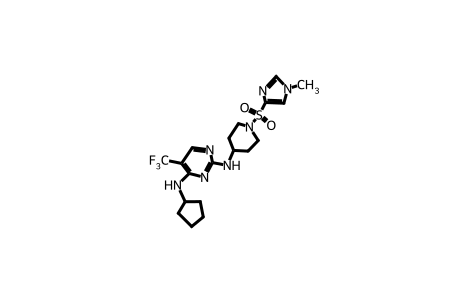 Cn1cnc(S(=O)(=O)N2CCC(Nc3ncc(C(F)(F)F)c(NC4CCCC4)n3)CC2)c1